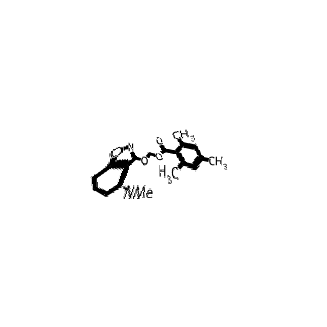 CN[C@@H]1CCCc2onc(OCOC(=O)c3c(C)cc(C)cc3C)c21